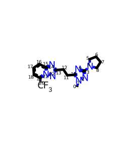 Cn1nc(N2CCCC2)nc1CCc1nc2cccc(C(F)(F)F)n2n1